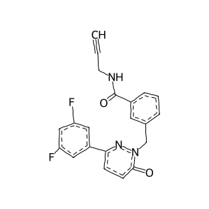 C#CCNC(=O)c1cccc(Cn2nc(-c3cc(F)cc(F)c3)ccc2=O)c1